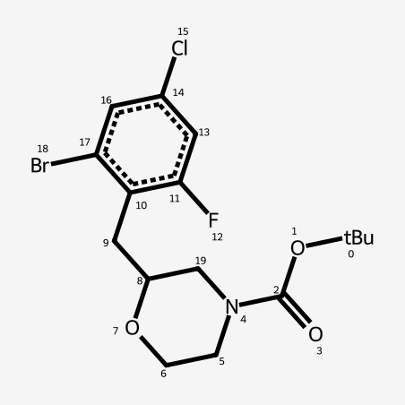 CC(C)(C)OC(=O)N1CCOC(Cc2c(F)cc(Cl)cc2Br)C1